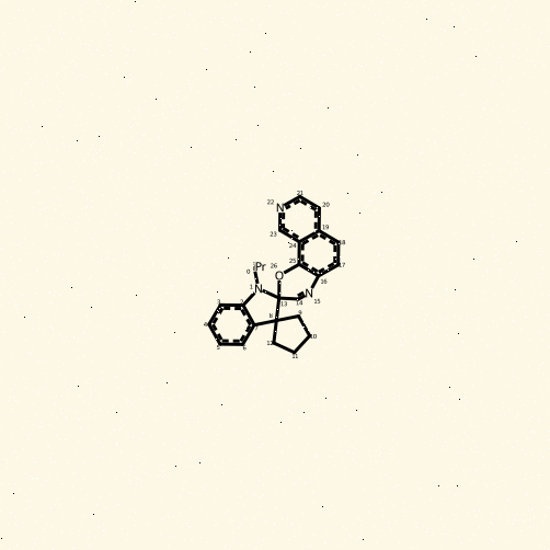 CC(C)N1c2ccccc2C2(CCCC2)C12C=Nc1ccc3ccncc3c1O2